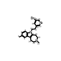 Cc1ccc2c(c1)c1c(n2CCc2cncc(Br)c2)CCN(C)CC1